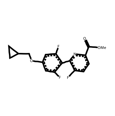 COC(=O)c1ccc(F)c(-c2c(F)cc(OCC3CC3)cc2F)n1